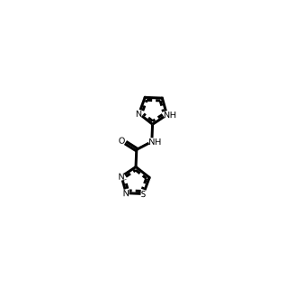 O=C(Nc1ncc[nH]1)c1csnn1